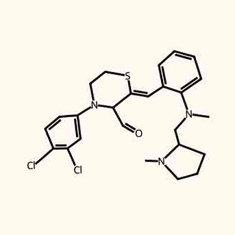 CN(CC1CCCN1C)c1ccccc1C=C1SCCN(c2ccc(Cl)c(Cl)c2)C1C=O